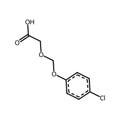 O=C(O)COCOc1ccc(Cl)cc1